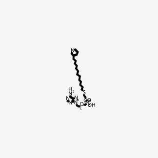 C[C@H](Cn1cnc2c(N)ncnc21)OCP(=O)(O)OCCSCCCCCCCCCCCCCc1cccnc1